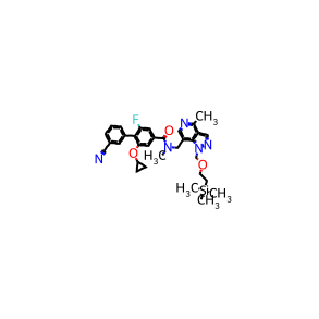 Cc1ncc(CN(C)C(=O)c2cc(F)c(-c3cccc(C#N)c3)c(OC3CC3)c2)c2c1cnn2COCC[Si](C)(C)C